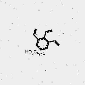 C=Cc1cccc(C=C)c1C=C.O=C(O)O